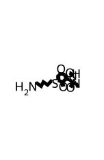 CNC(=O)c1noc2c1C(=O)C(SCCCCCN)=CC2=O